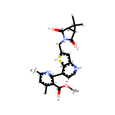 Cc1cc(C(F)(F)F)nc(-c2ccnc3cc(CN4C(=O)C5C(C4=O)C5(C)C)sc23)c1C(=O)OC(C)(C)C